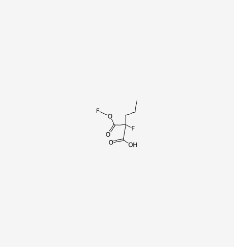 CCCC(F)(C(=O)O)C(=O)OF